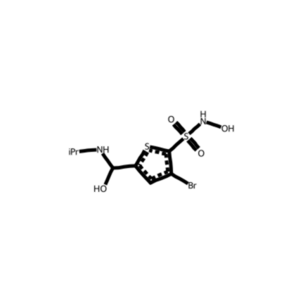 CC(C)NC(O)c1cc(Br)c(S(=O)(=O)NO)s1